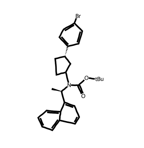 C[C@H](c1cccc2ccccc12)N(C(=O)OC(C)(C)C)C1CC[C@H](c2ccc(Br)cc2)C1